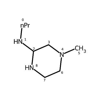 [CH2]CCNC1CN(C)CCN1